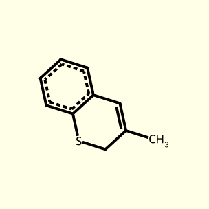 CC1=Cc2ccccc2SC1